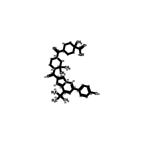 CC1(C(=O)O)CCC(C(=O)N2CCN(C(=O)c3cn4nc(-c5ccc(Cl)cc5)cc(C(C)(C)C)c4n3)C(C)(C)C2)CC1